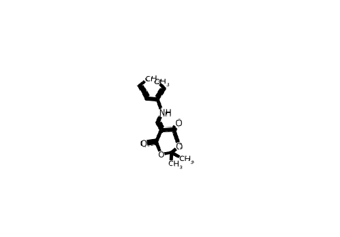 C/C=C\C(=C/C)NC=C1C(=O)OC(C)(C)OC1=O